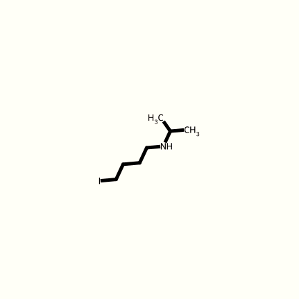 CC(C)NCCCCI